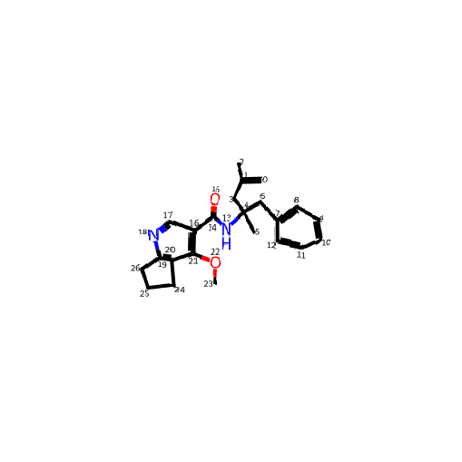 C=C(C)CC(C)(Cc1ccccc1)NC(=O)c1cnc2c(c1OC)CCC2